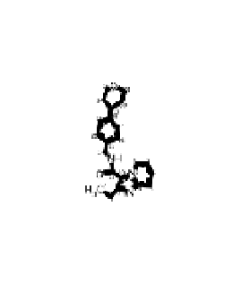 CCc1nc2ccccn2c1C(=O)NCc1ccc(C2CCOCC2)cc1